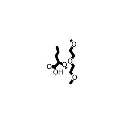 CCCC(OC)C(=O)O.COCCOCCOC